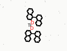 c1ccc2c(-c3c([O][Ti][O]c4ccc5ccccc5c4-c4cccc5ccccc45)ccc4ccccc34)cccc2c1